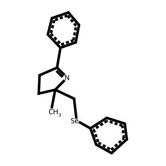 CC1(C[Se]c2ccccc2)CCC(c2ccccc2)=N1